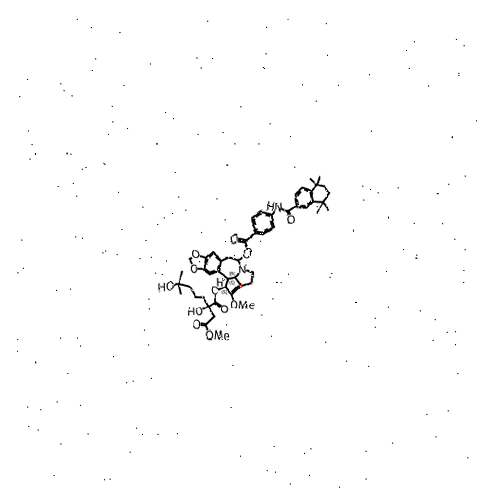 COC(=O)CC(O)(CCCC(C)(C)O)C(=O)O[C@@H]1C(OC)=C2C3CCN4C(OC(=O)c5ccc(NC(=O)c6ccc7c(c6)C(C)(C)CCC7(C)C)cc5)Cc5cc6c(cc5[C@H]1[C@@]234)OCO6